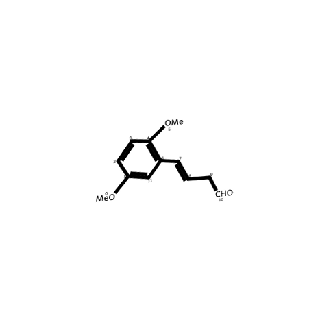 COc1ccc(OC)c(/C=C/C[C]=O)c1